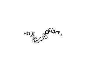 O=C(O)CSc1nnc(SC2CCN(C(=O)Oc3ccc(Oc4ccc(C(F)(F)F)cn4)cc3)CC2)s1